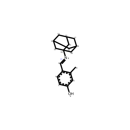 Cc1cc(O)ccc1/C=N/C12CC3CC(CC(C3)C1)C2